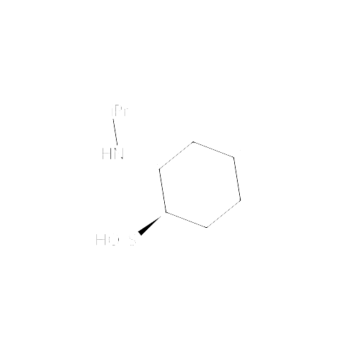 CC(C)N[C@@H]1CCCC[C@H]1S(=O)(=O)O